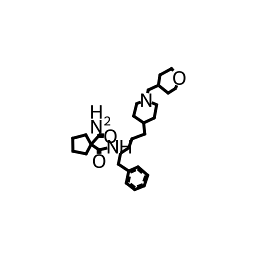 NC(=O)C1(C(=O)NC(CCCC2CCN(CC3CCOCC3)CC2)Cc2ccccc2)CCCC1